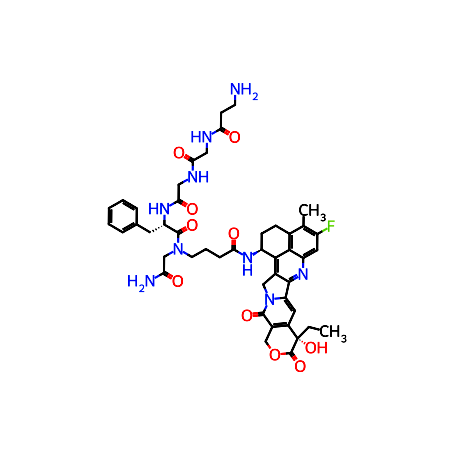 CC[C@@]1(O)C(=O)OCc2c1cc1n(c2=O)Cc2c-1nc1cc(F)c(C)c3c1c2[C@@H](NC(=O)CCCN(CC(N)=O)C(=O)[C@H](Cc1ccccc1)NC(=O)CNC(=O)CNC(=O)CCN)CC3